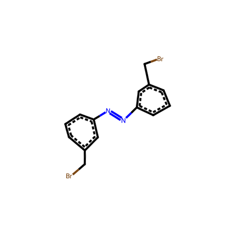 BrCc1cccc(N=Nc2cccc(CBr)c2)c1